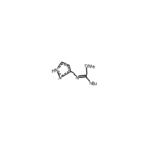 CCCC/C(=N/c1cc[nH]n1)OC